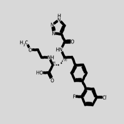 COCCN[C@H](C[C@@H](Cc1ccc(-c2cc(Cl)ccc2F)cc1)NC(=O)c1c[nH]nn1)C(=O)O